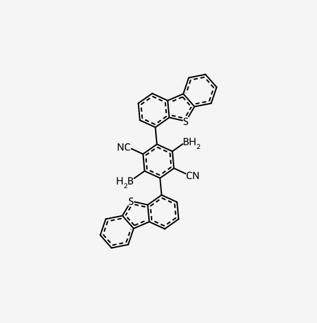 Bc1c(C#N)c(-c2cccc3c2sc2ccccc23)c(B)c(C#N)c1-c1cccc2c1sc1ccccc12